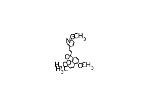 COc1ccc(/C=C/C(=O)c2ccc(OC)c3c2OC(C)(C)C=C3)cn1